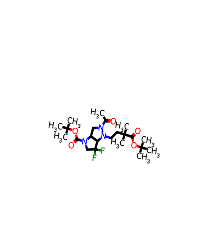 CC(=O)N1CC2C(N1CCC(C)(C)C(=O)OC(C)(C)C)C(F)(F)CN2C(=O)OC(C)(C)C